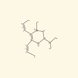 C/C=C\C1=C(/C=C\C)N(C)CC(C(C)C)O1